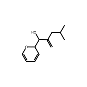 C=C(CC(C)C)C(O)C1C=CC=CO1